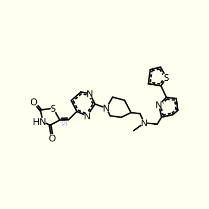 CN(Cc1cccc(-c2cccs2)n1)CC1CCN(c2nccc(/C=C3\SC(=O)NC3=O)n2)CC1